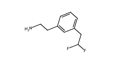 NCCc1cccc(CC(F)F)c1